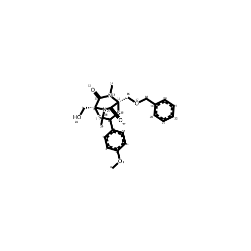 COc1ccc(C2S[C@@]3(CO)C(=O)N(C)[C@@](COCc4ccccc4)(S2)C(=O)N3C)cc1